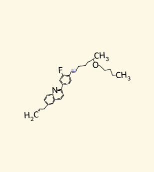 C=CCc1ccc2nc(-c3ccc(/C=C/CCCC(C)OCCCCC)c(F)c3)ccc2c1